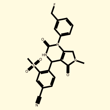 CN1CC2=C(C1=O)C(c1ccc(C#N)cc1S(C)(=O)=O)NC(=O)N2c1cccc(CF)c1